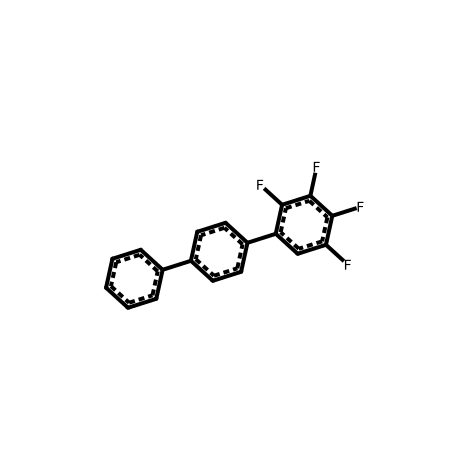 Fc1cc(-c2ccc(-c3ccccc3)cc2)c(F)c(F)c1F